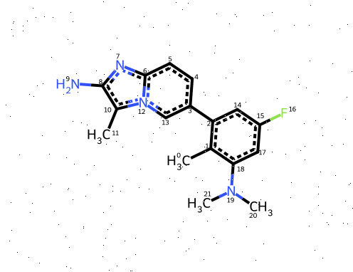 Cc1c(-c2ccc3nc(N)c(C)n3c2)cc(F)cc1N(C)C